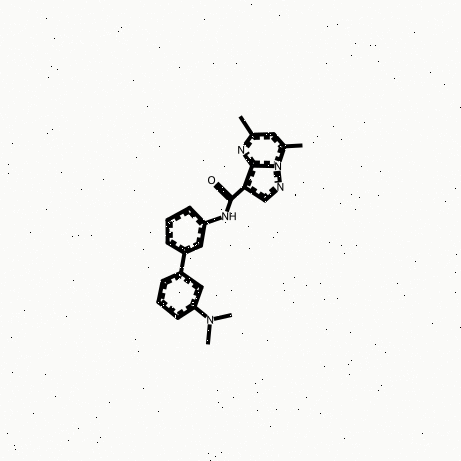 Cc1cc(C)n2ncc(C(=O)Nc3cccc(-c4cccc(N(C)C)c4)c3)c2n1